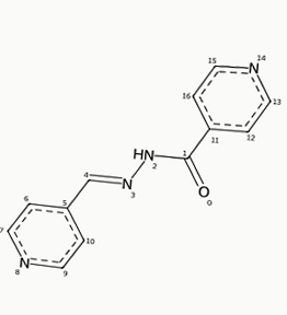 O=C(NN=Cc1ccncc1)c1ccncc1